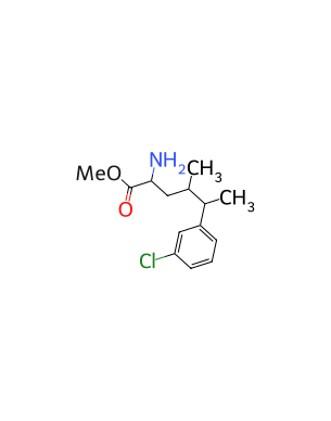 COC(=O)C(N)CC(C)C(C)c1cccc(Cl)c1